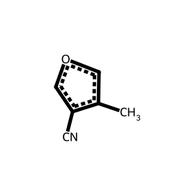 Cc1cocc1C#N